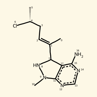 C/C(=C\C[C@@H](C)Cl)C1NN(C)c2ncnc(N)c21